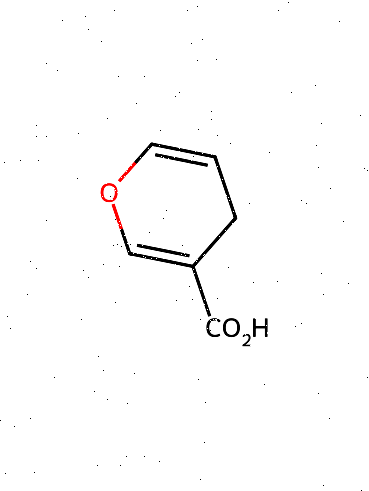 O=C(O)C1=COC=CC1